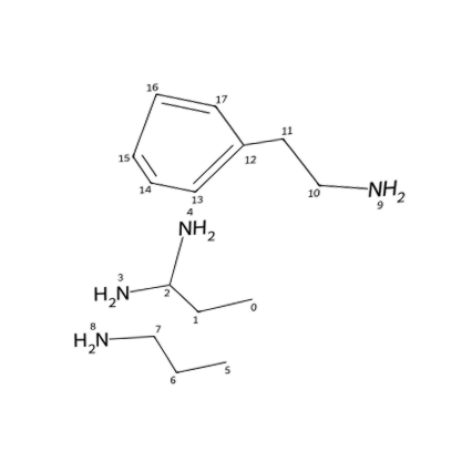 CCC(N)N.CCCN.NCCc1ccccc1